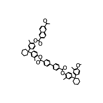 COc1ccc(C2(c3ccc(OC(=O)c4ccc(-c5ccc(C(=O)Oc6ccc(C7(c8ccc(OC(=O)c9ccc%10cc(C(C)=O)ccc%10c9)c(C)c8)CCCCC7)cc6C)cc5)cc4)c(C)c3)CCCCC2)cc1C